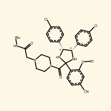 CCOc1cc(C#N)ccc1C1(C(=O)N2CCN(CC(=O)NC(C)(C)C)CC2)N[C@H](c2ccc(Cl)cc2)[C@H](c2ccc(Cl)cc2)N1